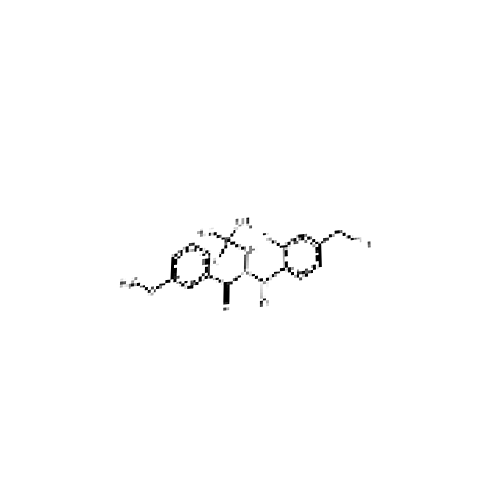 CCc1ccc(C(=O)N(NC(C)(C)C)C(=O)c2cccc(OC)c2)c(F)c1